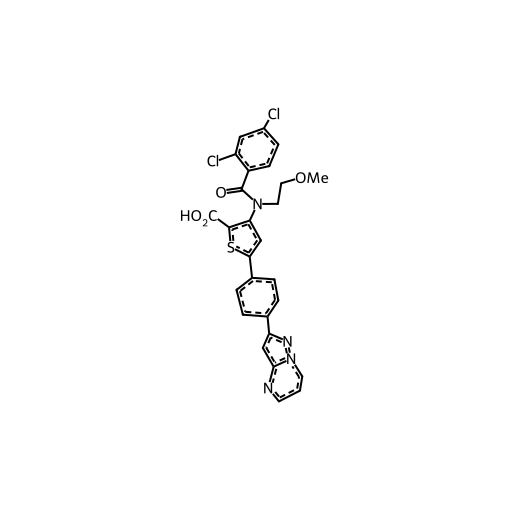 COCCN(C(=O)c1ccc(Cl)cc1Cl)c1cc(-c2ccc(-c3cc4ncccn4n3)cc2)sc1C(=O)O